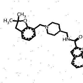 CC1(C)Cc2cccc(CN3CCC(CNC(=O)c4cc5ccccc5s4)CC3)c2O1